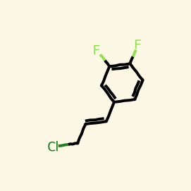 Fc1ccc(C=CCCl)cc1F